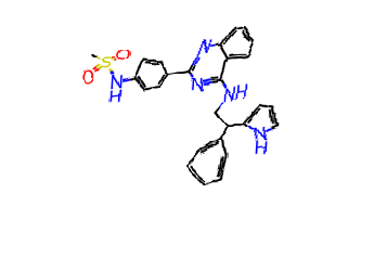 CS(=O)(=O)Nc1ccc(-c2nc(NCC(c3ccccc3)c3ccc[nH]3)c3ccccc3n2)cc1